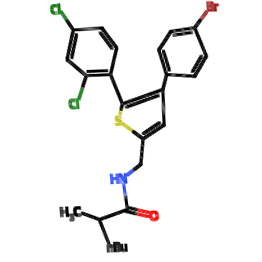 CCCCC(C)C(=O)NCc1cc(-c2ccc(Br)cc2)c(-c2ccc(Cl)cc2Cl)s1